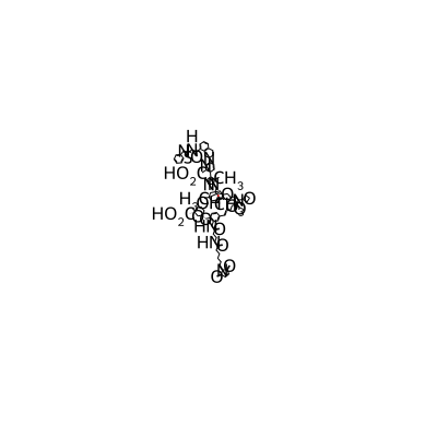 Cc1c(-c2ccc(N3CCc4cccc(C(=O)Nc5nc6ccccc6s5)c4C3)nc2C(=O)O)cnn1CC12CC3(C)CC(C)(C1)CC(OCCN(C(=O)OC/C=C/c1ccc(O[C@H]4C[C@@H](O)C[C@@H](C(=O)O)O4)c(NC(=O)CCNC(=O)CCCCCN4C(=O)C=CC4=O)c1)C1COC1)(C3)C2